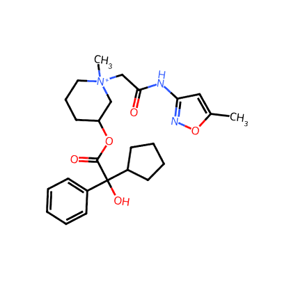 Cc1cc(NC(=O)C[N+]2(C)CCCC(OC(=O)C(O)(c3ccccc3)C3CCCC3)C2)no1